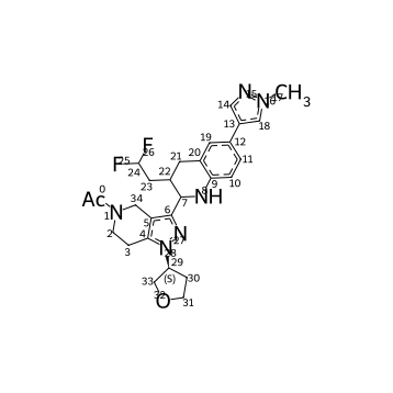 CC(=O)N1CCc2c(c(C3Nc4ccc(-c5cnn(C)c5)cc4CC3CC(F)F)nn2[C@H]2CCOC2)C1